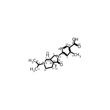 Cc1cc(N2C[C@@H]3CN(C(C)C)CC[C@]3(F)C2=O)ncc1C(=O)O